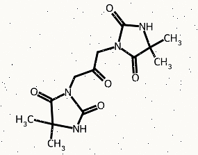 CC1(C)NC(=O)N(CC(=O)CN2C(=O)NC(C)(C)C2=O)C1=O